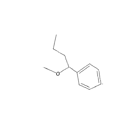 CCCC(OC)c1cc[c]cc1